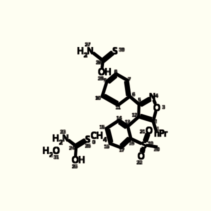 C.CCCc1onc(-c2ccccc2)c1-c1ccccc1S(C)(=O)=O.NC(O)=S.NC(O)=S.O